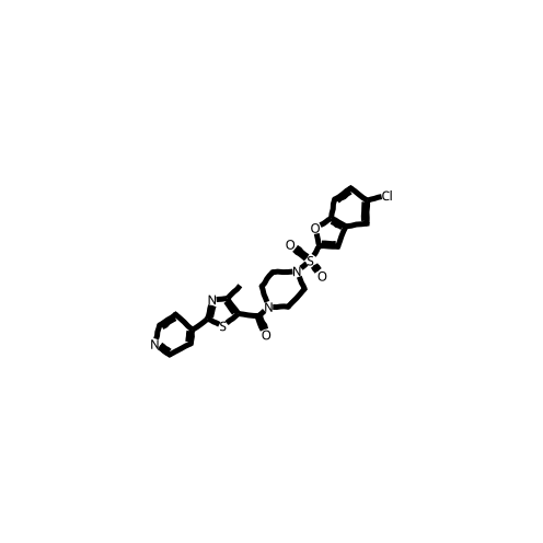 Cc1nc(-c2ccncc2)sc1C(=O)N1CCN(S(=O)(=O)c2cc3cc(Cl)ccc3o2)CC1